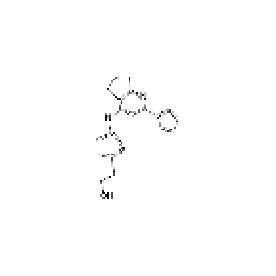 OCCc1ccc(Nc2cc(C3=C=CC=C3)nc3c2CCC3)cc1